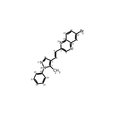 Cc1c(/C=C/c2cnc3cc(Br)ccc3n2)cnn1-c1ccccc1